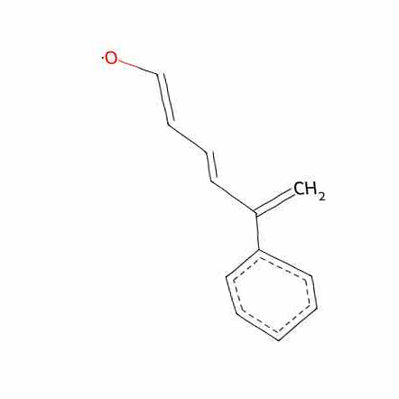 C=C(C=CC=C[O])c1ccccc1